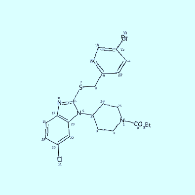 CCOC(=O)N1CCC(n2c(SCc3ccc(Br)cc3)nc3ccc(Cl)cc32)CC1